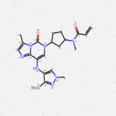 C=CC(=O)N(C)C1CCC(n2cc(Nc3cn(C)nc3OC)c3ncc(C)n3c2=O)C1